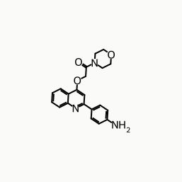 Nc1ccc(-c2cc(OCC(=O)N3CCOCC3)c3ccccc3n2)cc1